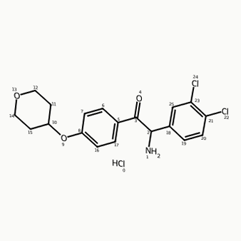 Cl.NC(C(=O)c1ccc(OC2CCOCC2)cc1)c1ccc(Cl)c(Cl)c1